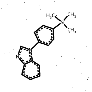 C[Si](C)(C)c1ccc(-n2cnc3ccccc32)cc1